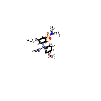 CCCCN(CCCC)c1cc(C(=O)O)cc(S(=O)(=O)N(C)C)c1Oc1ccc(OC(F)(F)F)cc1